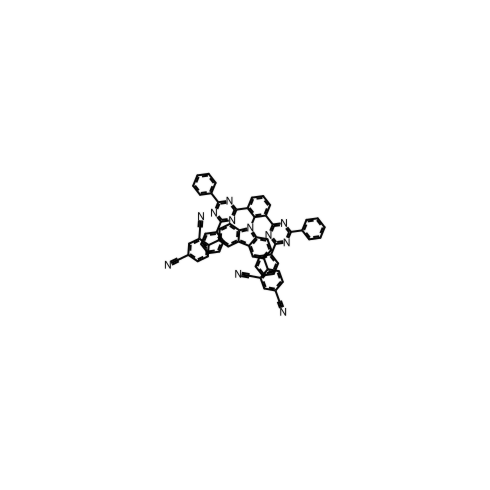 N#Cc1ccc(-c2ccc3c(c2)c2cc(-c4ccc(C#N)cc4C#N)ccc2n3-c2c(-c3nc(-c4ccccc4)nc(-c4ccccc4)n3)cccc2-c2nc(-c3ccccc3)nc(-c3ccccc3)n2)c(C#N)c1